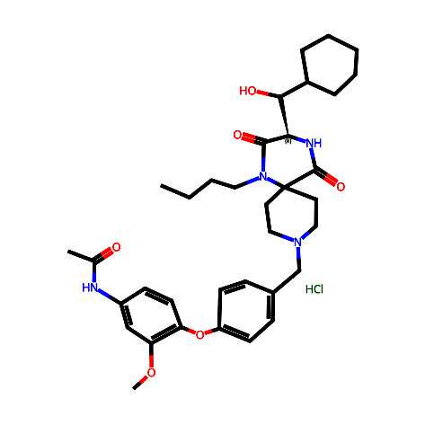 CCCCN1C(=O)[C@@H](C(O)C2CCCCC2)NC(=O)C12CCN(Cc1ccc(Oc3ccc(NC(C)=O)cc3OC)cc1)CC2.Cl